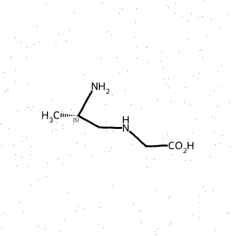 C[C@H](N)CNCC(=O)O